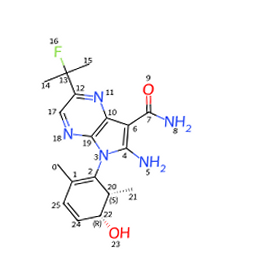 CC1=C(n2c(N)c(C(N)=O)c3nc(C(C)(C)F)cnc32)[C@H](C)[C@H](O)C=C1